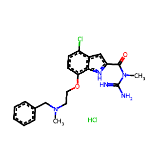 CN(CCOc1ccc(Cl)c2cc(C(=O)N(C)C(=N)N)[nH]c12)Cc1ccccc1.Cl